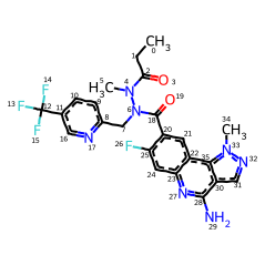 CCC(=O)N(C)N(Cc1ccc(C(F)(F)F)cn1)C(=O)c1cc2c(cc1F)nc(N)c1cnn(C)c12